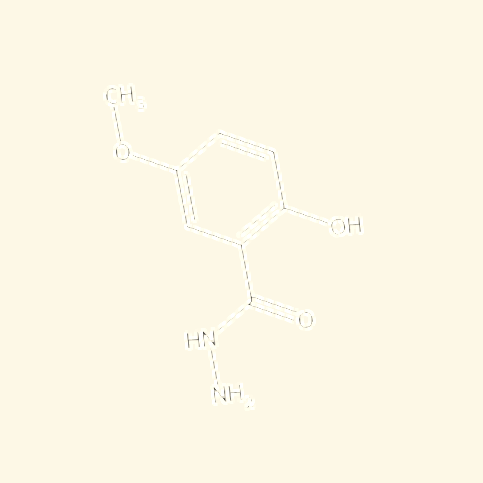 COc1ccc(O)c(C(=O)NN)c1